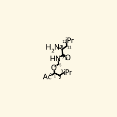 CC(=O)C(CC(C)C)OCNC(=O)[C@@H](N)CC(C)C